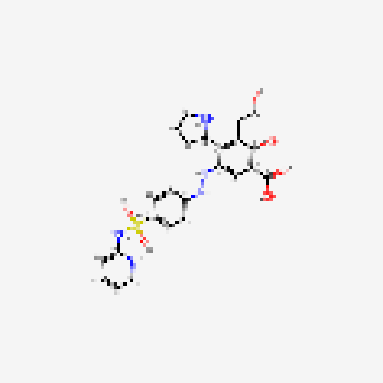 O=CCc1c(O)c(C(=O)O)cc(N=Nc2ccc(S(=O)(=O)Nc3ccccn3)cc2)c1C1CCCN1